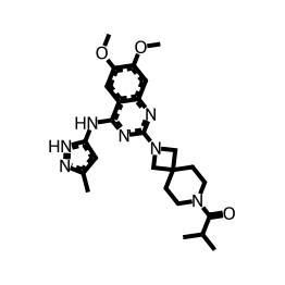 COc1cc2nc(N3CC4(CCN(C(=O)C(C)C)CC4)C3)nc(Nc3cc(C)n[nH]3)c2cc1OC